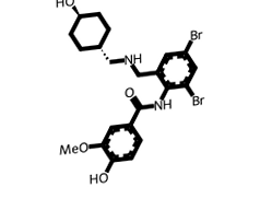 COc1cc(C(=O)Nc2c(Br)cc(Br)cc2CNC[C@H]2CC[C@H](O)CC2)ccc1O